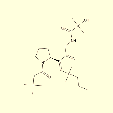 C=C(CNC(=O)C(C)(C)O)/C(=C\C(C)(C)CCC)[C@@H]1CCCN1C(=O)OC(C)(C)C